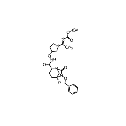 C/C(=N\C(=O)OC(C)(C)C)N1CCC(ONC(=O)[C@@H]2CC[C@@H]3CN2C(=O)N3OCc2ccccc2)C1